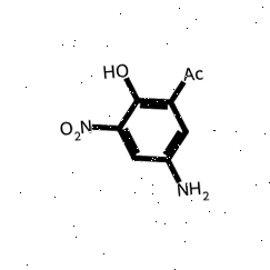 CC(=O)c1cc(N)cc([N+](=O)[O-])c1O